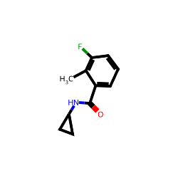 Cc1c(F)cccc1C(=O)NC1CC1